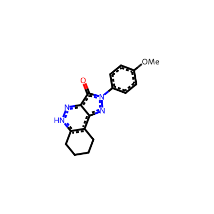 COc1ccc(-n2nc3c4c([nH]nc-3c2=O)CCCC4)cc1